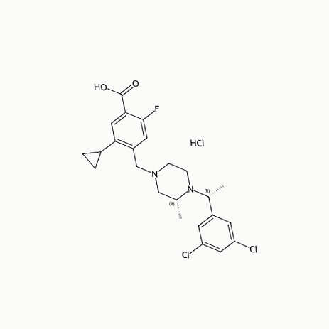 C[C@@H]1CN(Cc2cc(F)c(C(=O)O)cc2C2CC2)CCN1[C@H](C)c1cc(Cl)cc(Cl)c1.Cl